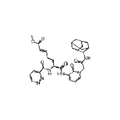 COC(=O)/C=C/CC[C@H](NC(=O)c1cccnn1)C(=O)Nc1cccn(CC(=O)NC2C3CC4CC(C3)CC2C4)c1=O